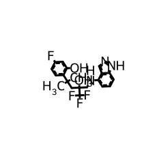 CC(C)(CC(O)(CNc1cccc2[nH]ncc12)C(F)(F)F)c1ccc(F)cc1O